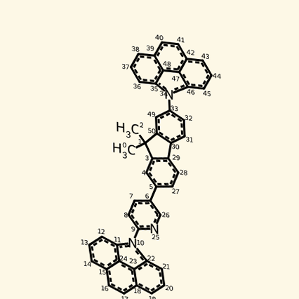 CC1(C)c2cc(-c3ccc(-n4c5cccc6ccc7cccc4c7c65)nc3)ccc2-c2ccc(-n3c4cccc5ccc6cccc3c6c54)cc21